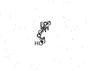 COc1ccc(F)c(-c2ncc(COc3cccc([C@@H](CC(=O)O)C4CC4)c3)nc2N(C)C)c1